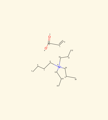 C=CC(=O)[O-].CCCC[N+](CCC)(CCC)CCC